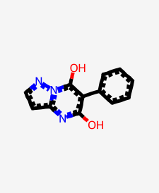 Oc1nc2ccnn2c(O)c1-c1ccccc1